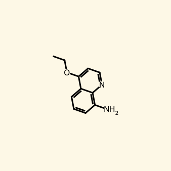 CCOc1ccnc2c(N)cccc12